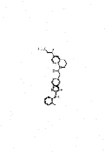 Cc1ccccc1Nc1nc2ccc(CC(=O)N3CCCc4cc([C@H](C)CC(=O)O)ccc43)cc2[nH]1